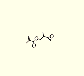 C=C(C)C(=O)OCC(C)C1CO1